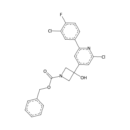 O=C(OCc1ccccc1)N1CC(O)(c2cc(Cl)nc(-c3ccc(F)c(Cl)c3)c2)C1